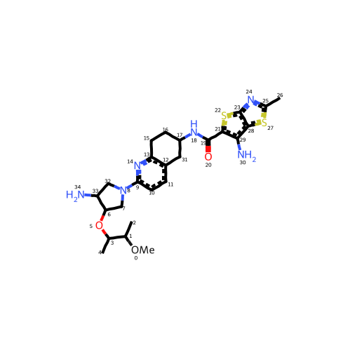 COC(C)C(C)OC1CN(c2ccc3c(n2)CCC(NC(=O)c2sc4nc(C)sc4c2N)C3)CC1N